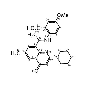 COc1ccc(NC(C)c2cc(C)cn3c(=O)cc(N4CCCCC4)nc23)c(C(=O)O)c1